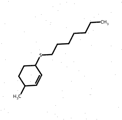 CCCCCCCSC1C=CC(C)CC1